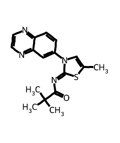 Cc1cn(-c2ccc3nccnc3c2)c(=NC(=O)C(C)(C)C)s1